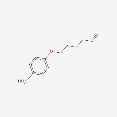 C=CCCCCOc1ccc(C(=O)O)cc1